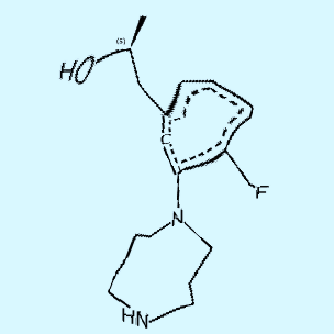 C[C@H](O)c1ccc(F)c(N2CCNCC2)c1